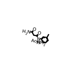 CC(N)=O.Cc1cccc(NC(=O)CC(N)=O)c1